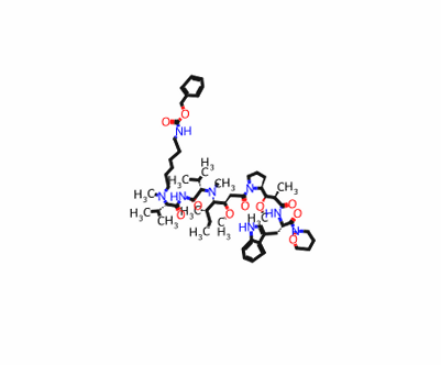 CC[C@H](C)[C@@H]([C@@H](CC(=O)N1CCC[C@H]1[C@H](OC)[C@@H](C)C(=O)N[C@@H](Cc1c[nH]c2ccccc12)C(=O)N1CCCCO1)OC)N(C)[C@H](C(=O)NC(=O)[C@H](C(C)C)N(C)CCCCCCNC(=O)OCc1ccccc1)C(C)C